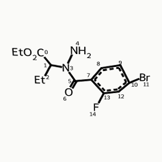 CCOC(=O)C(CC)N(N)C(=O)c1ccc(Br)cc1F